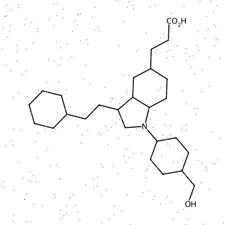 O=C(O)CCC1CCC2C(C1)C(CCC1CCCCC1)CN2C1CCC(CO)CC1